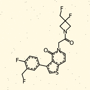 O=C(Cn1ccc2scc(-c3ccc(F)c(CF)c3)c2c1=O)N1CC(F)(CF)C1